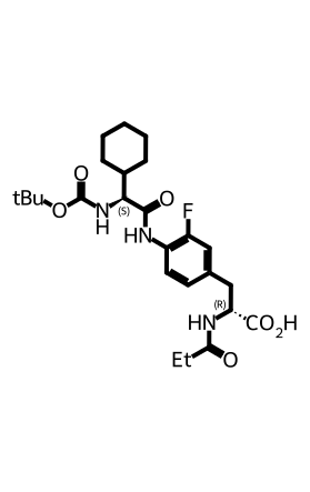 CCC(=O)N[C@H](Cc1ccc(NC(=O)[C@@H](NC(=O)OC(C)(C)C)C2CCCCC2)c(F)c1)C(=O)O